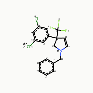 FC(F)(F)C1(c2cc(Cl)cc(Cl)c2)C=CN(Cc2ccccc2)C1.[Ar]